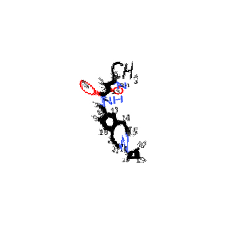 Cc1cc(C(=O)NCc2ccc3c(c2)CCN(C2=CC=C2)CC3)on1